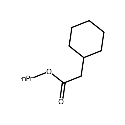 CC[CH]OC(=O)CC1CCCCC1